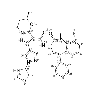 C[C@@H]1CCn2nc(-c3cnn(C4COCN4)c3)c(C(=O)N[C@H]3N=C(c4ccccc4)c4cccc(F)c4NC3=O)c2O1